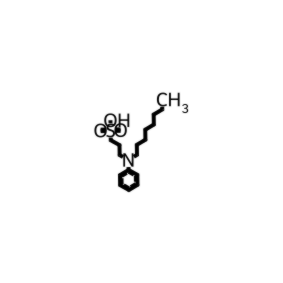 CCCCCCCCN(CCCS(=O)(=O)O)c1ccccc1